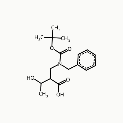 CC(O)C(CN(Cc1ccccc1)C(=O)OC(C)(C)C)C(=O)O